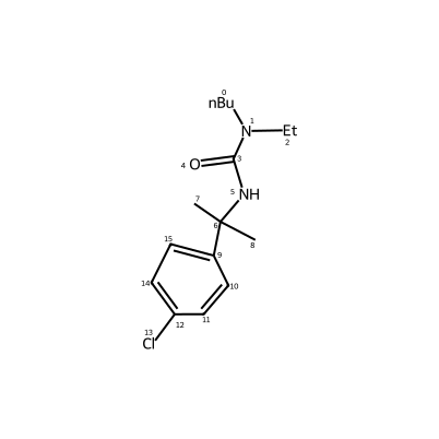 CCCCN(CC)C(=O)NC(C)(C)c1ccc(Cl)cc1